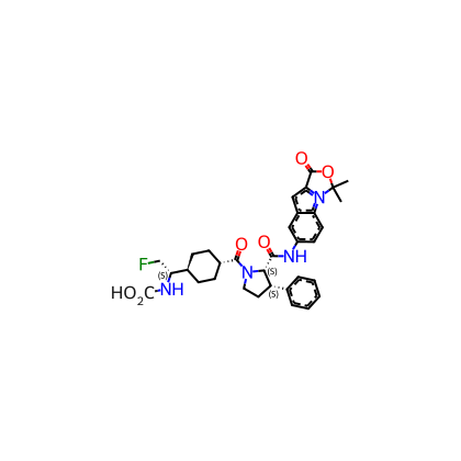 CC1(C)OC(=O)c2cc3cc(NC(=O)[C@@H]4[C@H](c5ccccc5)CCN4C(=O)[C@H]4CC[C@H]([C@@H](CF)NC(=O)O)CC4)ccc3n21